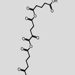 O=C(O)CCCC(=O)OC(=O)CCC(=O)C(=O)OC(=O)CCCC(=O)O